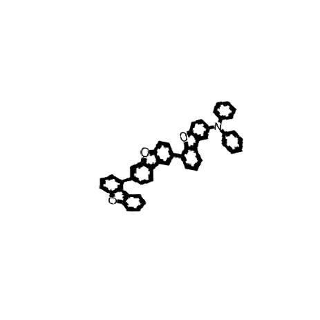 c1ccc(N(c2ccccc2)c2ccc3oc4c(-c5ccc6oc7cc(-c8cccc9oc%10ccccc%10c89)ccc7c6c5)cccc4c3c2)cc1